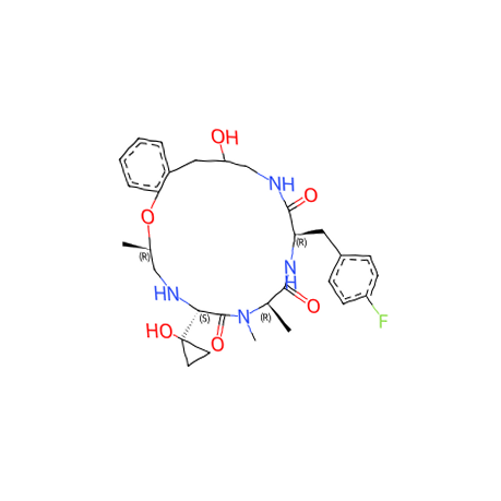 C[C@@H]1CN[C@@H](C2(O)CC2)C(=O)N(C)[C@H](C)C(=O)N[C@H](Cc2ccc(F)cc2)C(=O)NCC(O)Cc2ccccc2O1